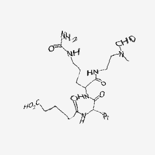 CC(C)C(NC(=O)CCCC(=O)O)C(=O)NC(CCCNC(N)=O)C(=O)NCCN(C)C=O